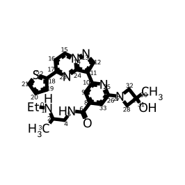 CCNC(C)CNC(=O)c1cc(-c2cnn3ccc(-c4cccs4)nc23)nc(N2CC(C)(O)C2)c1